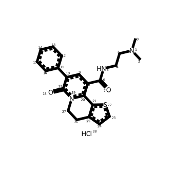 CN(C)CCNC(=O)c1cc(-c2ccccc2)c(=O)n2c1-c1sccc1CC2.Cl